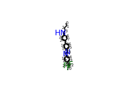 CCCCNc1ccc(-c2ccc(N=Nc3ccc(C(F)(F)F)cc3)cc2)cc1